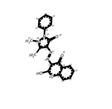 Cc1c(N=Nc2c(O)oc3ccccc3c2=O)c(=O)n(-c2ccccc2)n1C